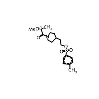 CO[C@@H](C)C(=O)N1CCC(CCOS(=O)(=O)c2ccc(C)cc2)CC1